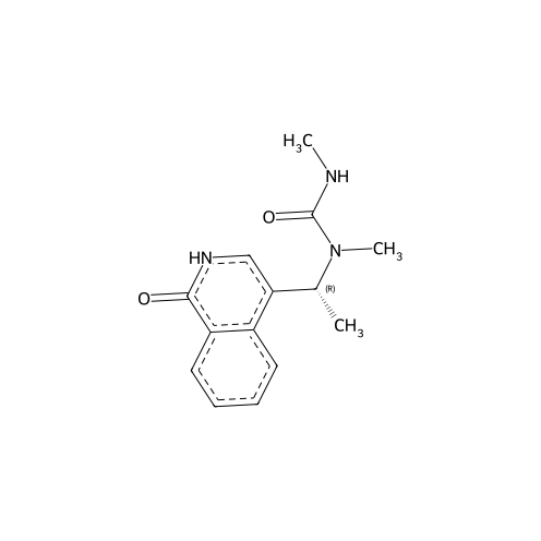 CNC(=O)N(C)[C@H](C)c1c[nH]c(=O)c2ccccc12